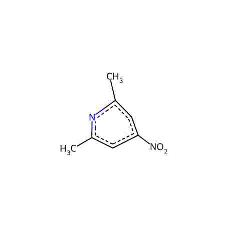 Cc1cc([N+](=O)[O-])cc(C)n1